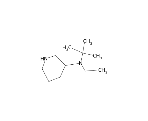 CCN(C1CCCNC1)C(C)(C)C